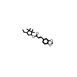 CCC1CC(OC(=O)/C=C/c2ccc3c(c2)OCO3)C(C)(C)C1(C)C